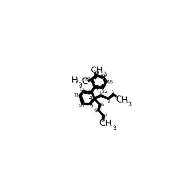 CCCCC1(CCCC)CC=CC=C1c1cccc(C)c1C